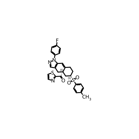 Cc1ccc(S(=O)(=O)[C@H]2CCC3=Cc4c(cnn4-c4ccc(F)cc4)C[C@]3(C(=O)c3nccs3)C2)cc1